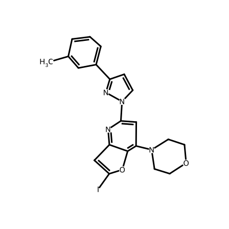 Cc1cccc(-c2ccn(-c3cc(N4CCOCC4)c4oc(I)cc4n3)n2)c1